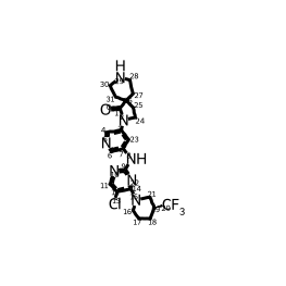 O=C1N(c2cncc(Nc3ncc(Cl)c(N4CCC[C@H](C(F)(F)F)C4)n3)c2)CCC12CCNCC2